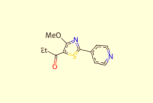 CCC(=O)c1sc(-c2ccncc2)nc1OC